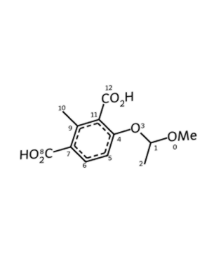 COC(C)Oc1ccc(C(=O)O)c(C)c1C(=O)O